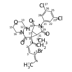 C=C(/C=C\C(Br)=C/C)[C@@]1(C(=O)N2CCOCC2)[C@H]2C(=O)N(c3cc(Cl)cc(Cl)c3)C(=O)[C@]21C